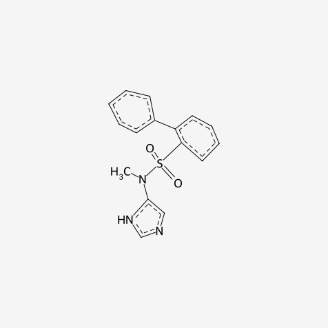 CN(c1cnc[nH]1)S(=O)(=O)c1ccccc1-c1ccccc1